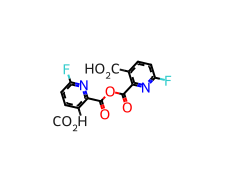 O=C(O)c1ccc(F)nc1C(=O)OC(=O)c1nc(F)ccc1C(=O)O